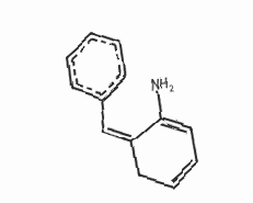 NC1=CC=CCC1=Cc1ccccc1